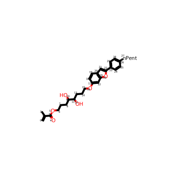 C=C(C)C(=O)OCCCC(O)C(O)CCCOc1ccc2cc(-c3ccc(CCCCC)cc3)oc2c1